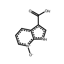 O=C(O)c1c[nH]c2c1ccc[n+]2[O-]